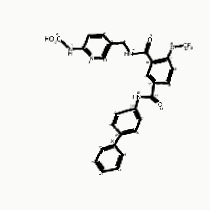 O=C(O)Nc1ccc(CNC(=O)c2cc(C(=O)Nc3ccc(-c4ccccc4)cc3)ccc2OC(F)(F)F)cn1